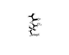 C=C(C)C(=O)OC(C)[N+](C)(C)CCCCCCCC.[Cl-]